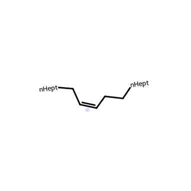 [CH2]CCCCCCCC/C=C\CCCCCCCC